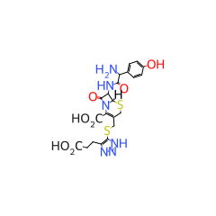 NC(C(=O)NC1C(=O)N2C(C(=O)O)=C(CSc3[nH]nnc3CCC(=O)O)CS[C@@H]12)c1ccc(O)cc1